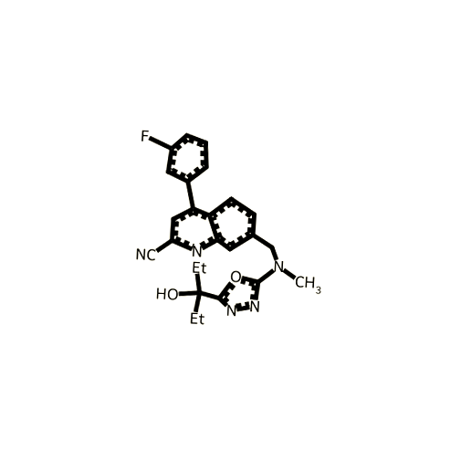 CCC(O)(CC)c1nnc(N(C)Cc2ccc3c(-c4cccc(F)c4)cc(C#N)nc3c2)o1